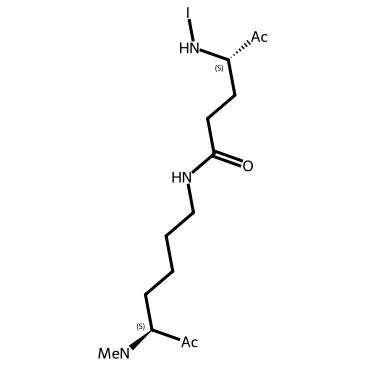 CN[C@@H](CCCCNC(=O)CC[C@H](NI)C(C)=O)C(C)=O